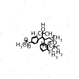 CC(C)(C)O[Si](C)(C)C/C(=C(/c1ccc(S(C)(=O)=O)cc1)C(C)(C)O)c1cccc(F)c1